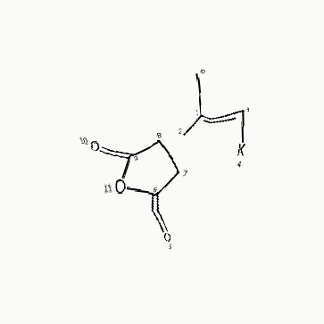 CC(C)=[CH][K].O=C1CCC(=O)O1